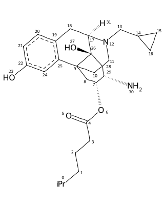 CC(C)CCCC(=O)O[C@@H]1CC23CCN(CC4CC4)[C@H](Cc4ccc(O)cc42)[C@]3(O)C[C@@H]1N